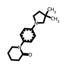 CC1(C)CCN(c2ccc(N3CCCCC3=O)cc2)C1